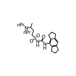 CCCN(CCC)C(C)CCS(=O)(=O)NC(=O)Nc1c2c(cc3c1CCC3)CCC2